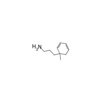 CC1(CCCN)C=CC=CC1